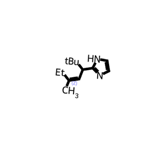 CC/C(C)=C\C(c1ncc[nH]1)C(C)(C)C